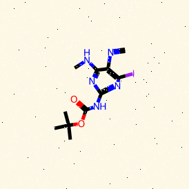 C=Nc1c(I)nc(NC(=O)OC(C)(C)C)nc1NC